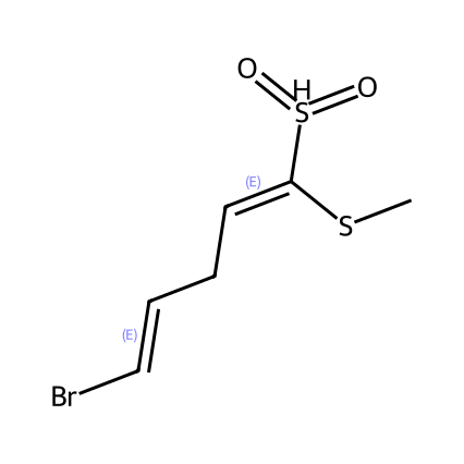 CS/C(=C\C/C=C/Br)[SH](=O)=O